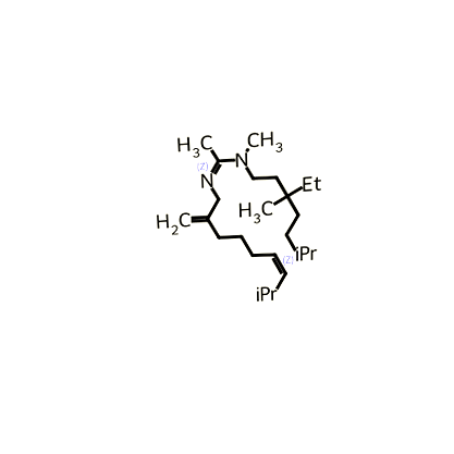 C=C(CCC/C=C\C(C)C)C/N=C(/C)N(C)CCC(C)(CC)CCC(C)C